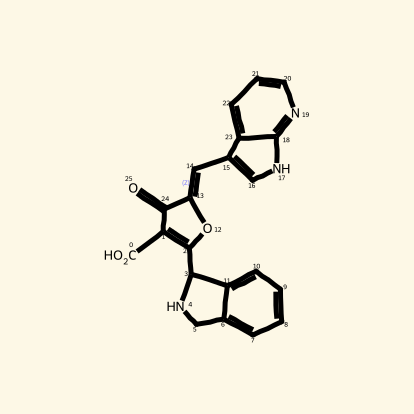 O=C(O)C1=C(C2NCc3ccccc32)O/C(=C\c2c[nH]c3ncccc23)C1=O